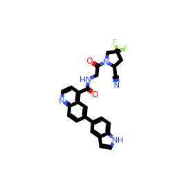 N#CC1CC(F)(F)CN1C(=O)CNC(=O)c1ccnc2ccc(-c3ccc4[nH]ccc4c3)cc12